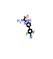 CO[C@H](C)[C@H](N)c1nc2cc(-c3cc(F)c(C#N)c(F)c3)ccc2[nH]1